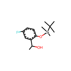 CC(O)c1cc(F)ccc1O[Si](C)(C)C(C)(C)C